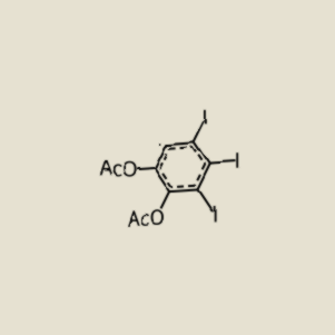 CC(=O)Oc1[c]c(I)c(I)c(I)c1OC(C)=O